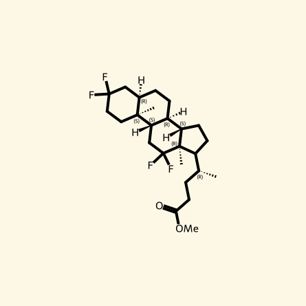 COC(=O)CC[C@@H](C)C1CC[C@H]2[C@@H]3CC[C@@H]4CC(F)(F)CC[C@]4(C)[C@H]3CC(F)(F)[C@]12C